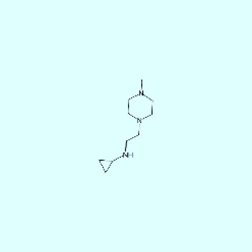 CN1CCN(CCNC2CC2)CC1